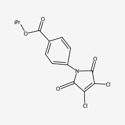 CC(C)OC(=O)c1ccc(N2C(=O)C(Cl)=C(Cl)C2=O)cc1